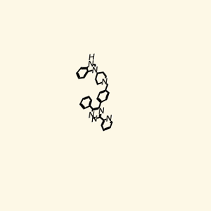 c1ccc(-c2nnc(-c3ccccn3)nc2-c2ccc(CN3CCC(N4CNc5ccccc54)CC3)cc2)cc1